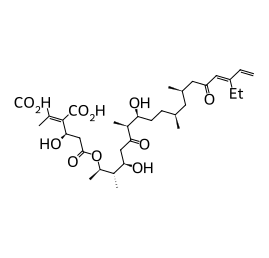 C=C/C(=C/C(=O)C[C@H](C)C[C@@H](C)CC[C@H](O)[C@H](C)C(=O)C[C@@H](O)[C@H](C)[C@@H](C)OC(=O)C[C@@H](O)/C(C(=O)O)=C(\C)C(=O)O)CC